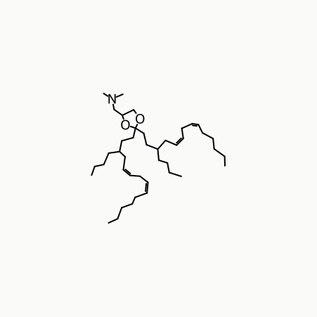 CCCCC/C=C\C/C=C\CC(CCCC)CCC1(CCC(C/C=C\C/C=C\CCCCC)CCCC)OCC(CN(C)C)O1